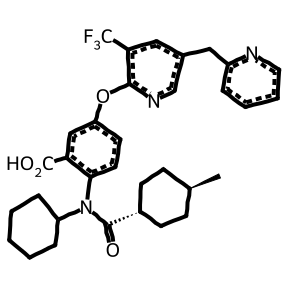 C[C@H]1CC[C@H](C(=O)N(c2ccc(Oc3ncc(Cc4ccccn4)cc3C(F)(F)F)cc2C(=O)O)C2CCCCC2)CC1